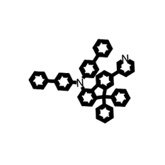 c1ccc(-c2ccc(N(c3ccc(-c4ccccc4)cc3)c3cccc4c3-c3ccc(-c5cccnc5)cc3C4(c3ccccc3)c3ccccc3)cc2)cc1